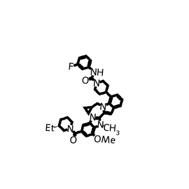 CC[C@@H]1CCCN(C(=O)c2cc(OC)c3c(c2)nc(-c2cc4cccc(C5CCN(C(=O)Nc6cccc(F)c6)CC5)c4n2CC2CC2)n3C)C1